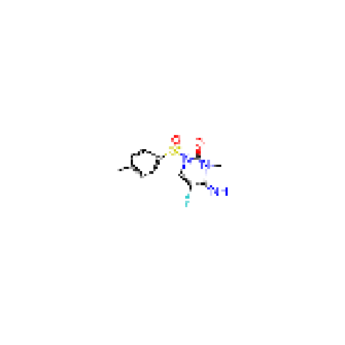 Cc1ccc([S+]([O-])n2cc(F)c(=N)n(C)c2=O)cc1